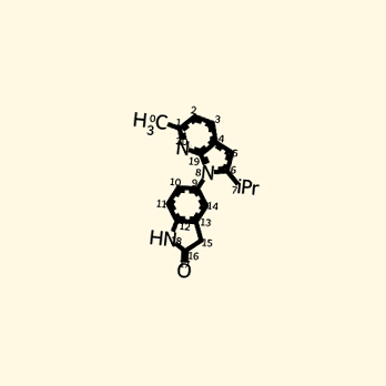 Cc1ccc2cc(C(C)C)n(-c3ccc4c(c3)CC(=O)N4)c2n1